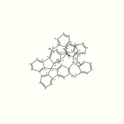 Cc1ccccc1P(c1ccc2c(c1)C1(c3ccccc3-2)c2ccccc2-c2ccc(P(=O)(c3ccccc3C)c3ccccc3C)cc21)c1ccccc1C